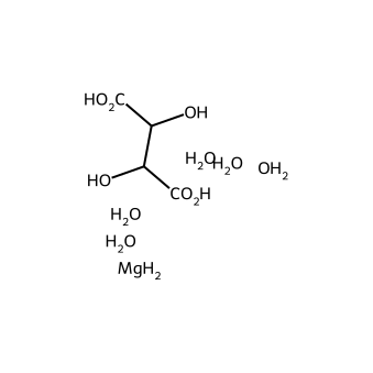 O.O.O.O.O.O=C(O)C(O)C(O)C(=O)O.[MgH2]